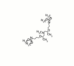 CO[SiH](CCCCOC(C)CN(C)CC(C)OCCCC[SiH](OC)OC)OC